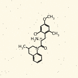 COc1cc(C)c(C[C@@H](N)C(=O)N2CC(C)Cc3ccccc32)c(Cl)c1